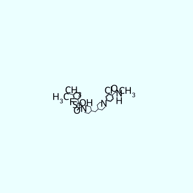 CNC(=O)c1ccc(N2CCC(CC3CCN(C(=O)[C@@](O)(SF)c4cccc(C(C)C)c4)CC3)CC2)cc1Cl